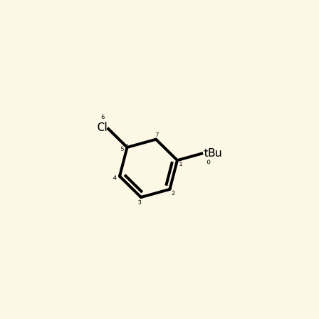 CC(C)(C)C1=CC=C[C](Cl)C1